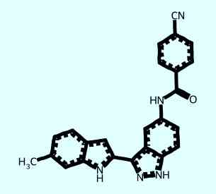 Cc1ccc2cc(-c3n[nH]c4ccc(NC(=O)c5ccc(C#N)cc5)cc34)[nH]c2c1